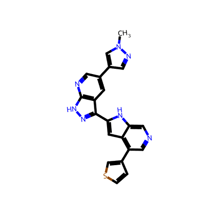 Cn1cc(-c2cnc3[nH]nc(-c4cc5c(-c6ccsc6)cncc5[nH]4)c3c2)cn1